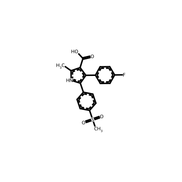 Cc1[nH]c(-c2ccc(S(C)(=O)=O)cc2)c(-c2ccc(F)cc2)c1C(=O)O